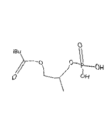 CCC(C)C(=O)OCC(C)OP(=O)(O)O